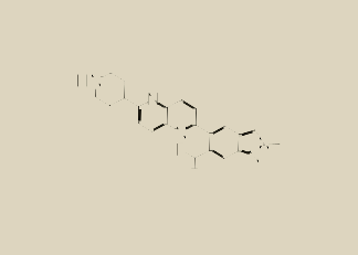 Cn1cc2cc(-c3ccc4nc(C5CCNCC5)ccc4n3)c(C(F)F)cc2n1